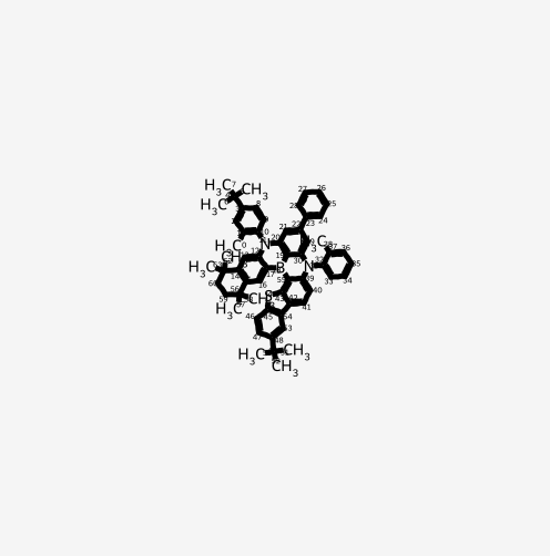 Cc1cc(C(C)(C)C)ccc1N1c2cc3c(cc2B2c4c1cc(-c1ccccc1)cc4N(c1ccccc1C)c1ccc4c(sc5ccc(C(C)(C)C)cc54)c12)C(C)(C)CCC3(C)C